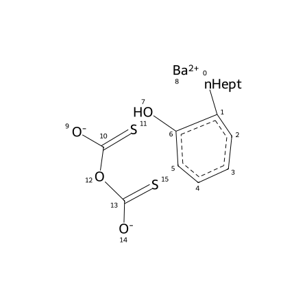 CCCCCCCc1ccccc1O.[Ba+2].[O-]C(=S)OC([O-])=S